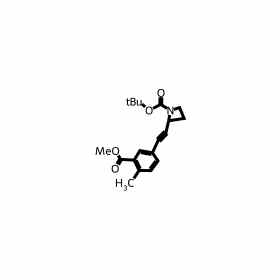 COC(=O)c1cc(C#CC2CCN2C(=O)OC(C)(C)C)ccc1C